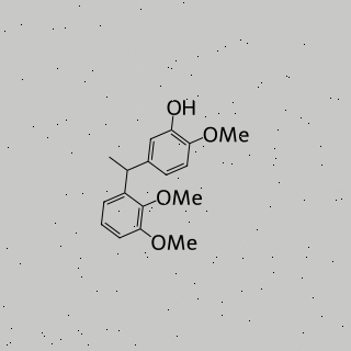 COc1ccc(C(C)c2cccc(OC)c2OC)cc1O